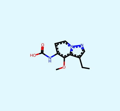 CCc1cnn2ccc(NC(=O)O)c(OC)c12